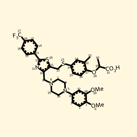 COc1ccc(N2CCN(Cc3nc(-c4ccc(C(F)(F)F)cc4)sc3CSc3ccc(OC(C)C(=O)O)c(C)c3)CC2)cc1OC